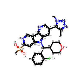 Cc1nnn(C)c1-c1cnc2c3cnc(S(C)(=O)=O)cc3n([C@H](c3ccccc3F)C3CCOCC3)c2c1